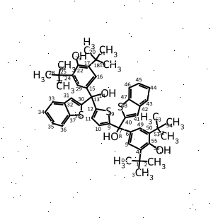 CC(C)(C)c1cc(C(O)(c2ccc(C(O)(c3cc(C(C)(C)C)c(O)c(C(C)(C)C)c3)c3cc4ccccc4s3)s2)c2cc3ccccc3s2)cc(C(C)(C)C)c1O